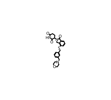 O=C1CCC(N2Cc3c(SCc4cccc(CN5CCOCC5)c4)cccc3C2=O)C(=O)N1